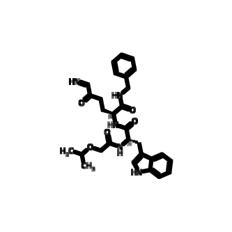 CC(C)OCC(=O)N[C@@H](Cc1c[nH]c2ccccc12)C(=O)N[C@@H](CCC(=O)C=N)C(=O)NCc1ccccc1